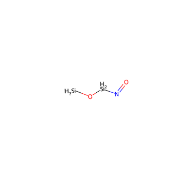 O=N[SiH2]O[SiH3]